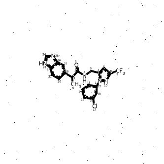 CC(C(=O)NCc1cc(C(F)(F)F)nn1-c1cccc(Cl)c1)c1ccc2[nH]cnc2c1